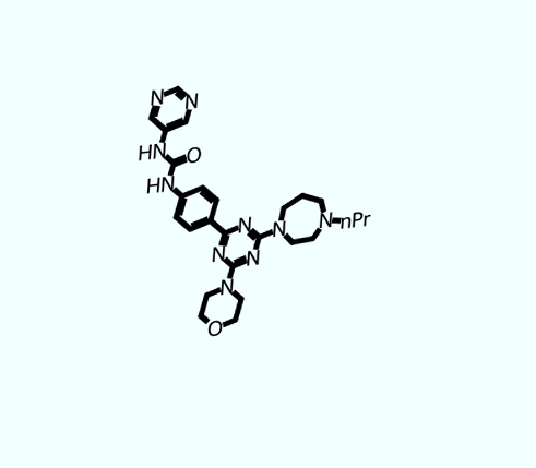 CCCN1CCCN(c2nc(-c3ccc(NC(=O)Nc4cncnc4)cc3)nc(N3CCOCC3)n2)CC1